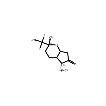 CCCCCCC[C@H]1C(=O)CC2O[C@@](O)(C(F)(F)CCCC)CCC21